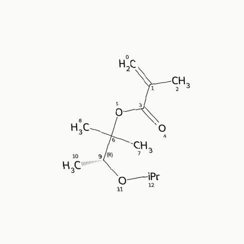 C=C(C)C(=O)OC(C)(C)[C@@H](C)OC(C)C